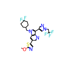 COc1ncc(-c2cnc3c(-c4cnn(CC(F)(F)F)c4)cn(CC4CCC(F)(F)CC4)c3c2)s1